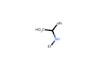 CCCC(NCC)C(=O)O